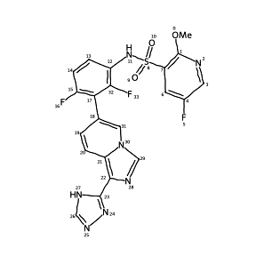 COc1ncc(F)cc1S(=O)(=O)Nc1ccc(F)c(-c2ccc3c(-c4nnc[nH]4)ncn3c2)c1F